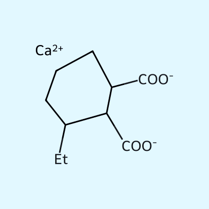 CCC1CCCC(C(=O)[O-])C1C(=O)[O-].[Ca+2]